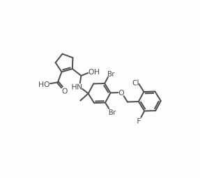 CC1(NC(O)C2=C(C(=O)O)CCC2)C=C(Br)C(OCc2c(F)cccc2Cl)=C(Br)C1